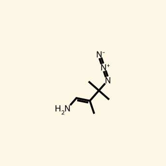 C/C(=C\N)C(C)(C)N=[N+]=[N-]